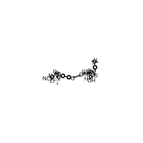 Cc1ncsc1-c1ccc(CNC(=O)[C@@H]2CC(O)CN2C(=O)[C@@H](NC(=O)COCCCCOc2ccc(-c3ccc(N4C(=S)N(c5cnc(C#N)c(C(F)(F)F)c5)C(=O)C4(C)C)c(F)c3)cc2)C(C)(C)C)cc1